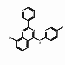 Fc1ccc(Nc2nc(-c3cccnc3)nc3c(Br)cccc23)nc1